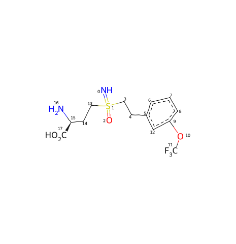 N=S(=O)(CCc1cccc(OC(F)(F)F)c1)CC[C@H](N)C(=O)O